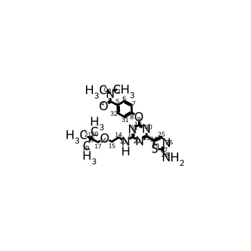 CN(C)C(=O)c1ccc(Oc2nc(NCCOCC(C)(C)C)nc(-c3cnc(N)s3)n2)cc1